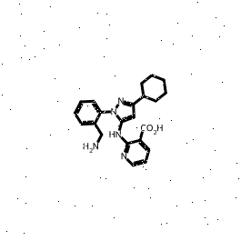 NCc1ccccc1-n1nc(C2CCCCC2)cc1Nc1ncccc1C(=O)O